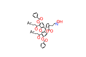 CC(=O)CCC(=O)c1c(OC(=O)c2ccccc2)ccc2c1Oc1c(ccc(OC(=O)c3ccccc3)c1C(=O)CCC(C)=O)C21OC(=O)c2c(CC=NO)cccc21